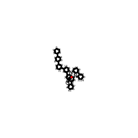 c1ccc(-c2ccc(-c3cccc(-c4ccc5c(c4)c4ccccc4n5-c4cccc5c6ccccc6n(-c6ccc7oc8ccccc8c7c6)c45)c3)cc2)cc1